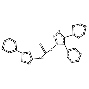 O=C(Cn1nnc(-c2ccncc2)c1-c1ccccc1)Nc1ncc(-c2ccccc2)s1